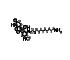 Cl.NCCCCCCCCCCCCNc1cccc2c1C(=O)N(C1CCC(=O)NC1=O)C2=O